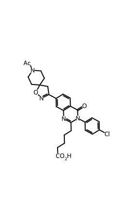 CC(=O)N1CCC2(CC1)CC(c1ccc3c(=O)n(-c4ccc(Cl)cc4)c(CCCCC(=O)O)nc3c1)=NO2